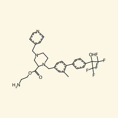 Cc1cc(CN2CCN(Cc3ccncc3)CC2C(=O)OCCN)ccc1-c1ccc(C(O)(C(F)(F)F)C(F)(F)F)cc1